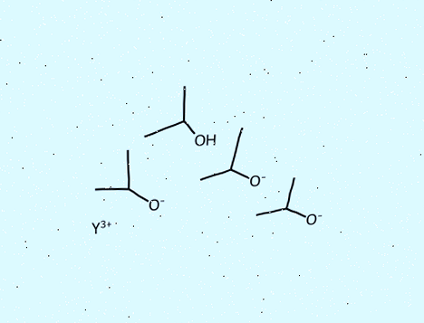 CC(C)O.CC(C)[O-].CC(C)[O-].CC(C)[O-].[Y+3]